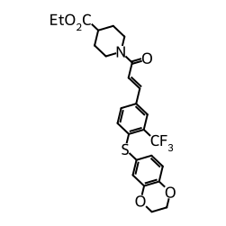 CCOC(=O)C1CCN(C(=O)/C=C/c2ccc(Sc3ccc4c(c3)OCCO4)c(C(F)(F)F)c2)CC1